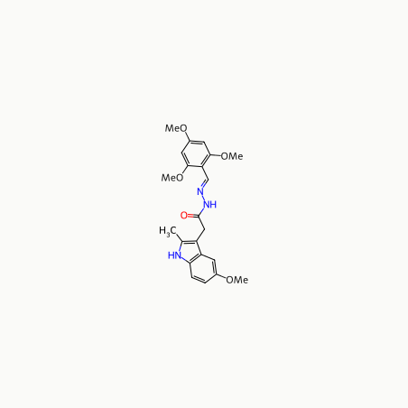 COc1cc(OC)c(C=NNC(=O)Cc2c(C)[nH]c3ccc(OC)cc23)c(OC)c1